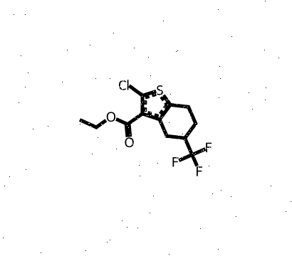 CCOC(=O)c1c(Cl)sc2c1CC(C(F)(F)F)CC2